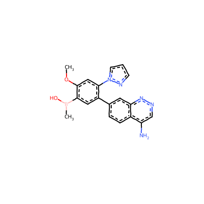 COc1cc(-n2cccn2)c(-c2ccc3c(N)cnnc3c2)cc1B(C)O